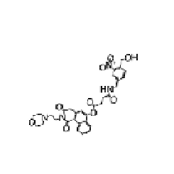 O=C(CCC(=O)Oc1cc2c(c3ccccc13)C(=O)N(CCN1CCOCC1)C(=O)C2)NCc1ccc(CO)c([N+](=O)[O-])c1